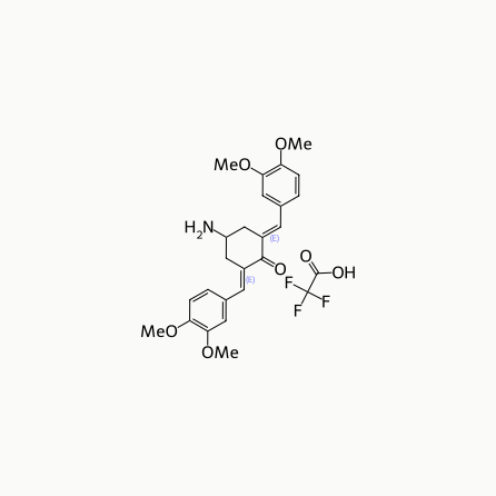 COc1ccc(/C=C2\CC(N)C/C(=C\c3ccc(OC)c(OC)c3)C2=O)cc1OC.O=C(O)C(F)(F)F